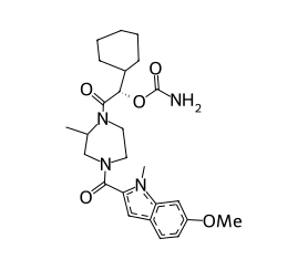 COc1ccc2cc(C(=O)N3CCN(C(=O)[C@@H](OC(N)=O)C4CCCCC4)C(C)C3)n(C)c2c1